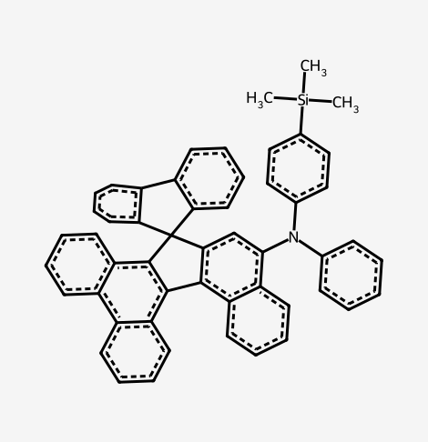 C[Si](C)(C)c1ccc(N(c2ccccc2)c2cc3c(c4ccccc24)-c2c(c4ccccc4c4ccccc24)C32c3ccccc3-c3ccccc32)cc1